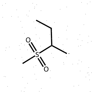 [CH2]C(CC)S(C)(=O)=O